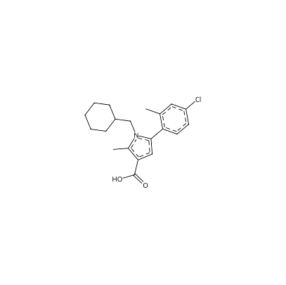 Cc1cc(Cl)ccc1-c1cc(C(=O)O)c(C)n1CC1CCCCC1